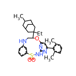 CCC1(C2CNc3cccc(c3)S(=O)(=O)Nc3nc(cc(-c4c(C)cccc4C)n3)O2)CC2CC(C)CC(C2)C1